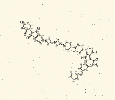 NC(=O)C1=C2NCC[C@@H](C3CCN(C4CCN(C5CN(C6CN(c7ccc8c(c7)C(=O)N(C7CCC(=O)NC7=O)C8=O)C6)C5)CC4)CC3)N2NC1c1ccc(Oc2ccccc2)cc1